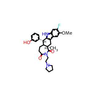 COc1cc2c3c([nH]c2cc1F)[C@@H](c1cccc(O)c1)C1CCC(=O)N(CCN2CCCC2)C(=O)[C@]1(C)C3